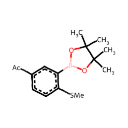 CSc1ccc(C(C)=O)cc1B1OC(C)(C)C(C)(C)O1